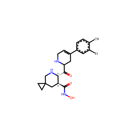 CCc1cc(C2=CCNC(C(=O)[C@H]3NCC4(CC4)C[C@@H]3C(=O)NO)C2)ccc1C#N